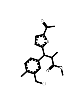 COC(=O)C(C)C(c1ccc(C)c(CCl)c1)c1ccc(C(C)=O)s1